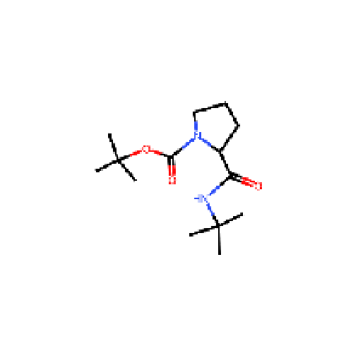 CC(C)(C)NC(=O)C1CCCN1C(=O)OC(C)(C)C